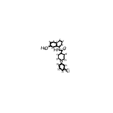 O=C(NC1CCCc2ccc(O)cc21)C1CCN(c2cccc(Cl)c2)CC1